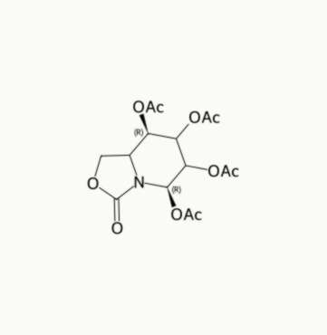 CC(=O)OC1C(OC(C)=O)[C@@H](OC(C)=O)N2C(=O)OCC2[C@H]1OC(C)=O